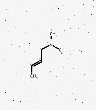 CC=CC[SiH](C)C